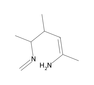 C=NC(C)C(C)/C=C(/C)N